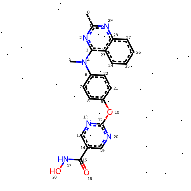 Cc1nc(N(C)c2ccc(Oc3ncc(C(=O)NO)cn3)cc2)c2ccccc2n1